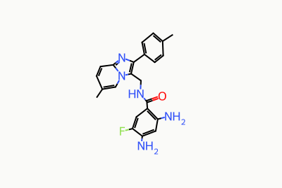 Cc1ccc(-c2nc3ccc(C)cn3c2CNC(=O)c2cc(F)c(N)cc2N)cc1